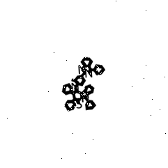 Cc1cc(-c2nc(-c3ccccc3)c3ccccc3n2)ccc1-n1c2ccccc2c2c3c4ccccc4sc3c3c(c4ccccc4n3-c3ccccc3)c21